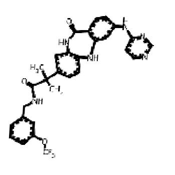 CC(C)(C(=O)NCc1cccc(OC(F)(F)F)c1)c1ccc2c(c1)NC(=O)c1ccc(Nc3ccncn3)cc1N2